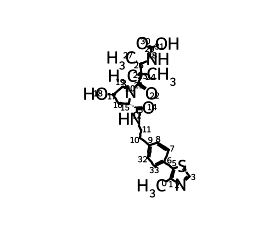 Cc1ncsc1-c1ccc(CCNC(=O)[C@@H]2C[C@@H](O)CN2C(=O)C(C)(C)[C@H](C)NC(=O)O)cc1